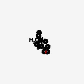 Cc1c(-c2ccc3ccccc3c2)nc(-c2ccccc2)nc1-c1cccc2sc3cc(N(c4ccccc4)c4ccccc4-c4ccccc4)ccc3c12